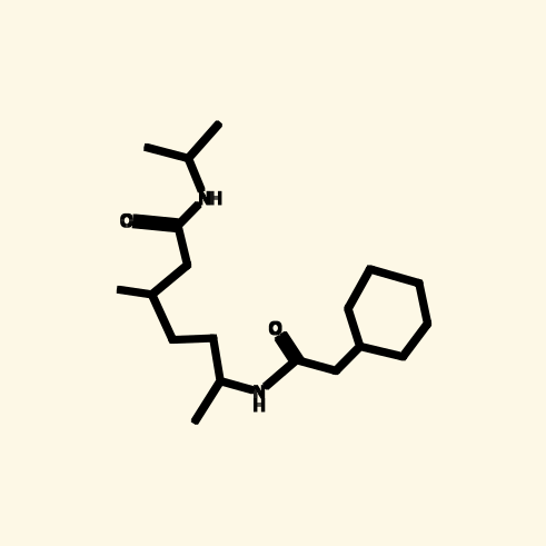 CC(CCC(C)NC(=O)CC1CCCCC1)CC(=O)NC(C)C